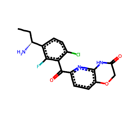 CC[C@@H](N)c1ccc(Cl)c(C(=O)c2ccc3c(n2)NC(=O)CO3)c1F